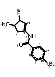 CC1CC(NC(=O)c2ccc(C(C)(C)C)cc2)=CC1F